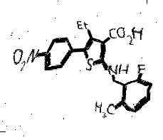 CCc1c(-c2ccc([N+](=O)[O-])cc2)sc(NCc2c(C)cccc2F)c1C(=O)O